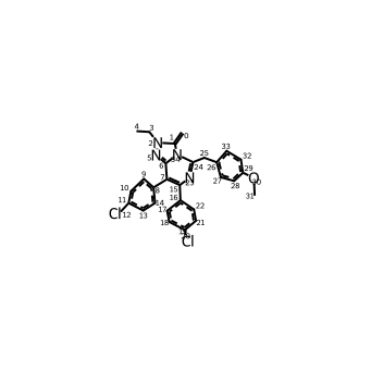 C=C1N(CC)N=C2C(c3ccc(Cl)cc3)=C(c3ccc(Cl)cc3)N=C(Cc3ccc(OC)cc3)N12